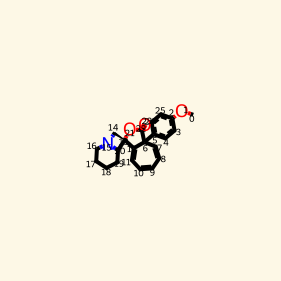 COc1ccc(C23C=CC=CC=C2[C@@]2(CN4CCCCC42)OC3=O)cc1